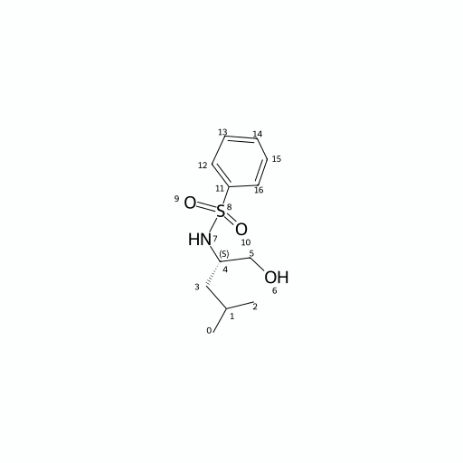 CC(C)C[C@@H](CO)NS(=O)(=O)c1ccccc1